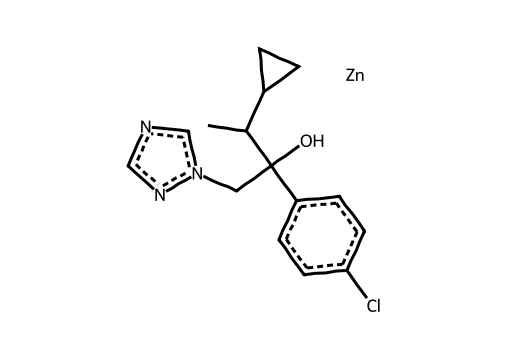 CC(C1CC1)C(O)(Cn1cncn1)c1ccc(Cl)cc1.[Zn]